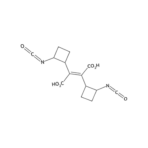 O=C=NC1CCC1/C(C(=O)O)=C(\C(=O)O)C1CCC1N=C=O